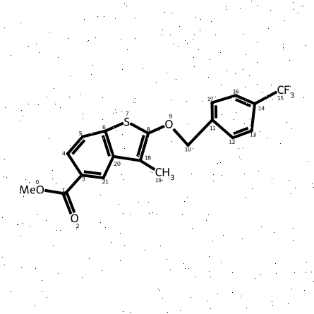 COC(=O)c1ccc2sc(OCc3ccc(C(F)(F)F)cc3)c(C)c2c1